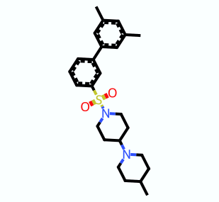 Cc1cc(C)cc(-c2cccc(S(=O)(=O)N3CCC(N4CCC(C)CC4)CC3)c2)c1